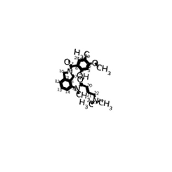 COc1cc(O)c(C(=O)N2Cc3cccc(N(C)C(=O)/C=C/CN(C)C)c3C2)cc1C